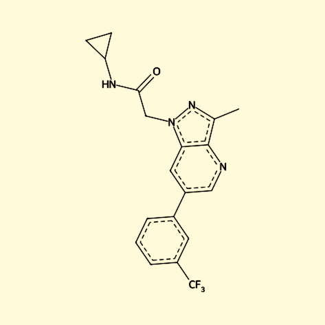 Cc1nn(CC(=O)NC2CC2)c2cc(-c3cccc(C(F)(F)F)c3)cnc12